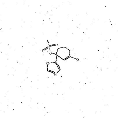 CS(=O)(=O)OC1(c2cnco2)C=C(Cl)CCC1